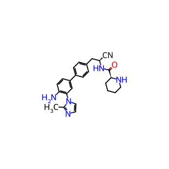 Cc1nccn1-c1cc(-c2ccc(C[C@@H](C#N)NC(=O)[C@@H]3CCCCN3)cc2)ccc1N